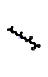 CC(C)=CCC/C(C)=C/COC(=O)CCC(=O)Cl